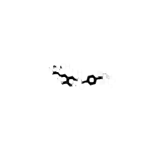 BC(B)(B)c1ccc(C(=O)Nc2cc3cc(-c4cncn4C)ncc3cn2)cc1